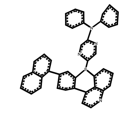 c1ccc(N(c2ccccc2)c2cnc(B3c4cc(-c5cccc6ccccc56)ccc4-c4ccnc5cccc3c45)cn2)cc1